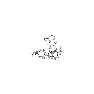 NC(=O)C1CCC(c2c[nH]c3ncc4nc(C5CCC(N)CC5)cn4c23)CC1